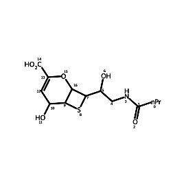 CCCC(=O)NCC(O)C1SC2C(O)C=C(C(=O)O)OC21